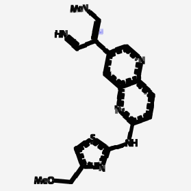 CN/C=C(\C=N)c1cnc2ccc(Nc3nc(COC)cs3)nc2c1